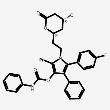 CC(C)c1c(OC(=O)Nc2ccccc2)c(-c2ccccc2)c(-c2ccc(F)cc2)n1CC[C@@H]1C[C@@H](O)CC(=O)O1